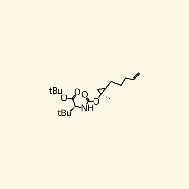 C=CCCCC1C[C@]1(C)OC(=O)N[C@H](C(=O)OC(C)(C)C)C(C)(C)C